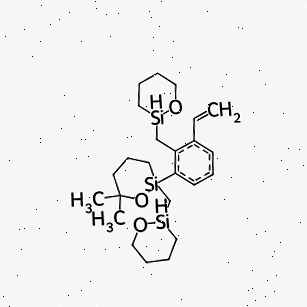 C=Cc1cccc([Si]2(C[SiH]3CCCCO3)CCCC(C)(C)O2)c1C[SiH]1CCCCO1